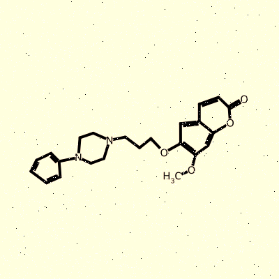 COc1cc2oc(=O)ccc2cc1OCCCN1CCN(c2ccccc2)CC1